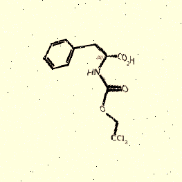 O=C(N[C@@H](Cc1ccccc1)C(=O)O)OCC(Cl)(Cl)Cl